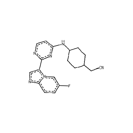 N#CCC1CCC(Nc2ccnc(-c3cnc4ccc(F)cn34)n2)CC1